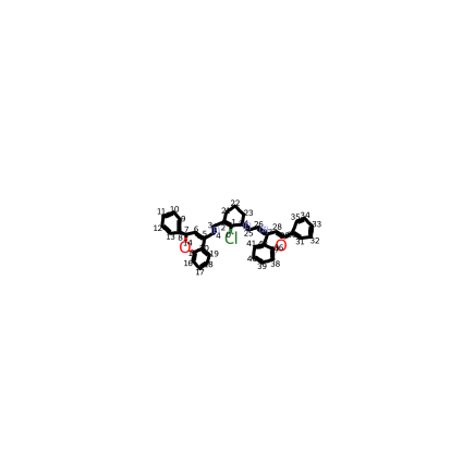 ClC1=C(/C=C/C2=CC(c3ccccc3)Oc3ccccc32)CCC/C1=C\C=C1\C=C(c2ccccc2)Oc2ccccc21